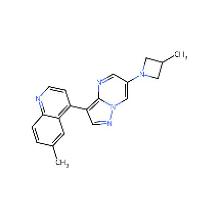 Cc1ccc2nccc(-c3cnn4cc(N5CC(C)C5)cnc34)c2c1